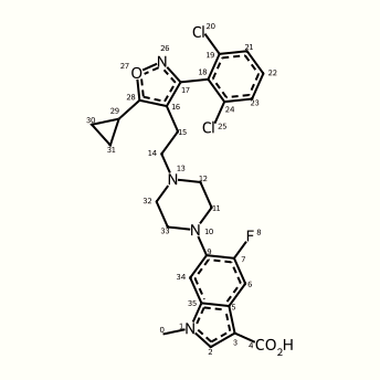 Cn1cc(C(=O)O)c2cc(F)c(N3CCN(CCc4c(-c5c(Cl)cccc5Cl)noc4C4CC4)CC3)cc21